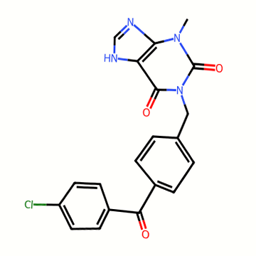 Cn1c(=O)n(Cc2ccc(C(=O)c3ccc(Cl)cc3)cc2)c(=O)c2[nH]cnc21